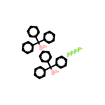 [B+2]C(c1ccccc1)(c1ccccc1)c1ccccc1.[B+2]C(c1ccccc1)(c1ccccc1)c1ccccc1.[F-].[F-].[F-].[F-]